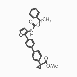 COC(=O)C1(c2ccc(-c3ccc(-c4occc4NC(=O)O[C@H](C)c4ccccc4)cc3)cc2)CC1